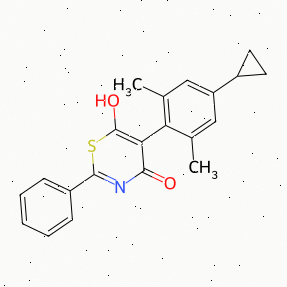 Cc1cc(C2CC2)cc(C)c1-c1c(O)sc(-c2ccccc2)nc1=O